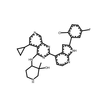 CC1(O)CNCCC1Nc1nc(-c2ccnc3[nH]c(-c4cc(F)ccc4Cl)cc23)nc2cncc(C3CC3)c12